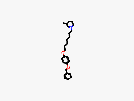 CC1CCCN(CCCCCCCOc2ccc(OCc3ccccc3)cc2)C1